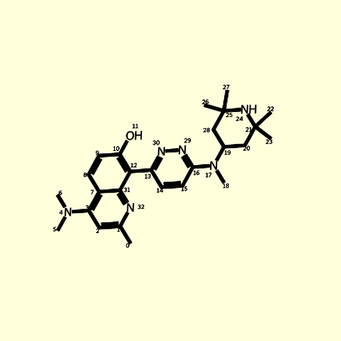 Cc1cc(N(C)C)c2ccc(O)c(-c3ccc(N(C)C4CC(C)(C)NC(C)(C)C4)nn3)c2n1